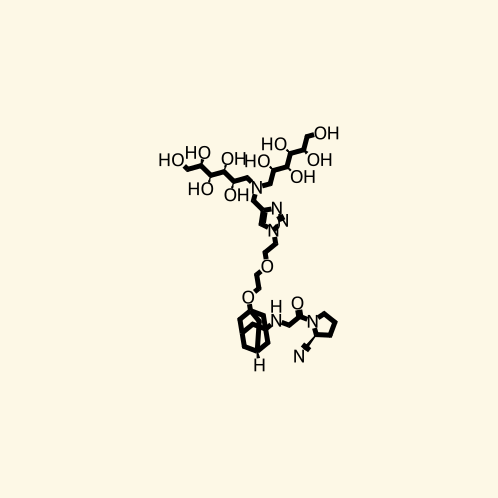 N#C[C@@H]1CCCN1C(=O)CNC12CC3C[C@@H](C1)CC(OCCOCCn1cc(CN(C[C@H](O)[C@@H](O)[C@H](O)[C@H](O)CO)C[C@H](O)[C@@H](O)[C@H](O)[C@H](O)CO)nn1)(C3)C2